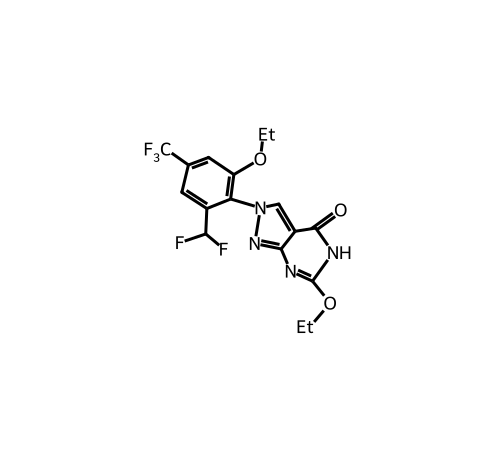 CCOc1nc2nn(-c3c(OCC)cc(C(F)(F)F)cc3C(F)F)cc2c(=O)[nH]1